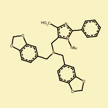 CCCCn1c(-c2ccccc2)nc(C(=O)O)c1CN(Cc1ccc2c(c1)OCO2)Cc1ccc2c(c1)OCO2